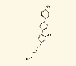 CCCc1ccc(-c2ccc(-c3ccc(CCCCCO)cc3CC)cc2)cc1